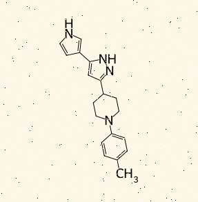 Cc1ccc(N2CCC(c3cc(-c4cc[nH]c4)[nH]n3)CC2)cc1